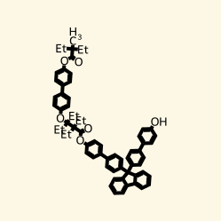 CCC(C)(CC)C(=O)Oc1ccc(-c2ccc(OC(CC)(CC)C(CC)(CC)C(=O)Oc3ccc(-c4ccc(C5(c6ccc(-c7ccc(O)cc7)cc6)c6ccccc6-c6ccccc65)cc4)cc3)cc2)cc1